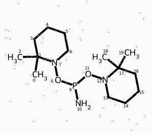 CC1(C)CCCCN1OP(N)ON1CCCCC1(C)C